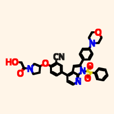 N#Cc1cc(-c2ccnc3c2cc(-c2ccc(N4CCOCC4)cc2)n3S(=O)(=O)c2ccccc2)ccc1O[C@H]1CCN(C(=O)CO)C1